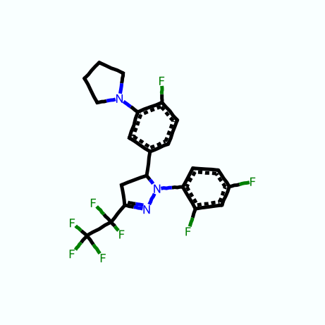 Fc1ccc(N2N=C(C(F)(F)C(F)(F)F)CC2c2ccc(F)c(N3CCCC3)c2)c(F)c1